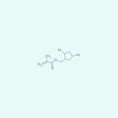 C=C(C)C(=O)OCC1CC(CC)CC1CC